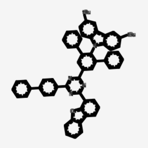 CC(C)(C)c1ccc2c(c1)c1cc(C(C)(C)C)ccc1n2-c1c(-c2ccccc2)cc(-c2nc(-c3ccc(-c4ccccc4)cc3)nc(-c3cccc4c3oc3ccccc34)n2)cc1-c1ccccc1